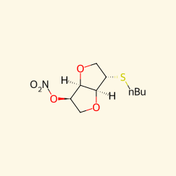 CCCCS[C@H]1CO[C@H]2[C@@H]1OC[C@H]2O[N+](=O)[O-]